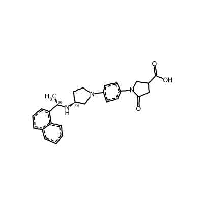 C[C@@H](N[C@H]1CCN(c2ccc(N3CC(C(=O)O)CC3=O)cc2)C1)c1cccc2ccccc12